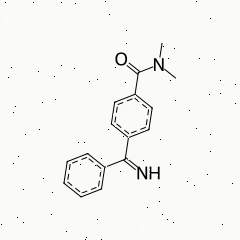 CN(C)C(=O)c1ccc(C(=N)c2ccccc2)cc1